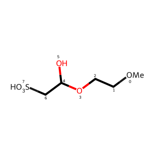 COCCOC(O)CS(=O)(=O)O